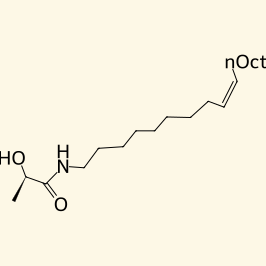 CCCCCCCC/C=C\CCCCCCCCNC(=O)[C@@H](C)O